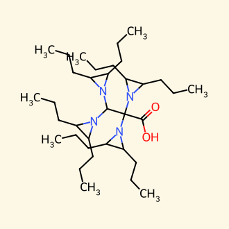 CCCC1C(CCC)N1C(N1C(CCC)C1CCC)C(C(=O)O)(N1C(CCC)C1CCC)N1C(CCC)C1CCC